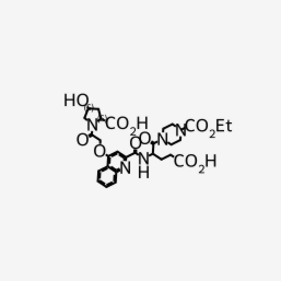 CCOC(=O)N1CCN(C(=O)C(CCC(=O)O)NC(=O)c2cc(OCC(=O)N3C[C@@H](O)C[C@H]3C(=O)O)c3ccccc3n2)CC1